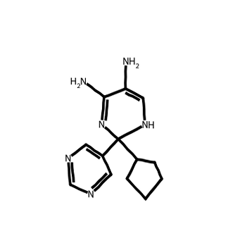 NC1=CNC(c2cncnc2)(C2CCCC2)N=C1N